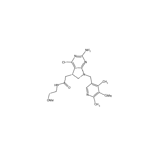 COCCNC(=O)CC1CN(Cc2cnc(C)c(OC)c2C)c2nc(N)nc(Cl)c21